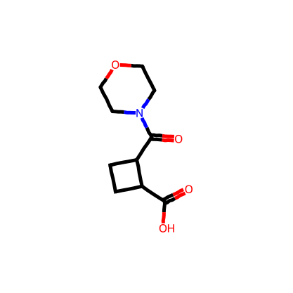 O=C(O)C1CCC1C(=O)N1CCOCC1